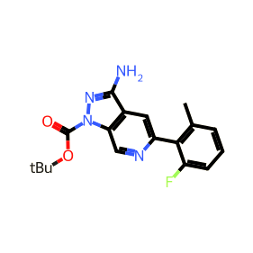 Cc1cccc(F)c1-c1cc2c(N)nn(C(=O)OC(C)(C)C)c2cn1